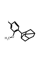 COc1cc(I)ccc1C1C2CC3CC(C2)CC1C3